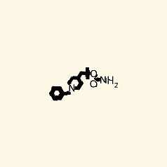 CC(C)(CC1CCN(Cc2ccccc2)CC1)OC(N)=O